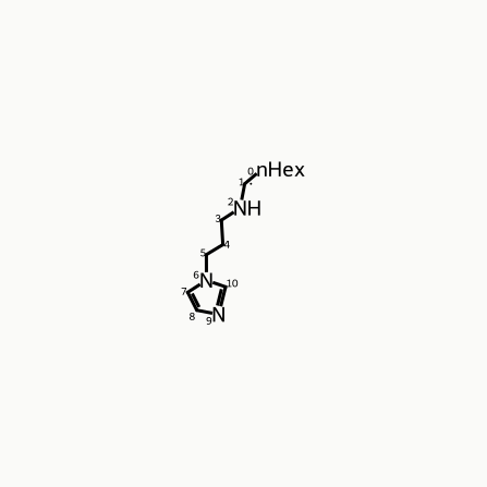 CCCCCC[CH]NCCCn1ccnc1